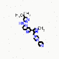 CC(C)c1cnnc(Nc2ccc3ncc(-c4cn(C)nc4CN4CCN(c5ccncc5)CC4)cc3n2)c1